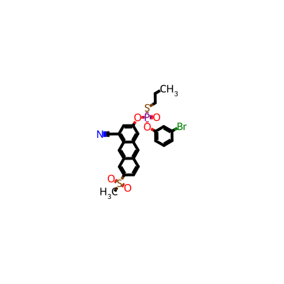 CCCSP(=O)(Oc1cccc(Br)c1)Oc1cc(C#N)c2cc3cc(S(C)(=O)=O)ccc3cc2c1